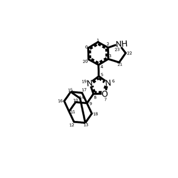 c1cc2c(c(-c3noc(C45CC6CC(CC(C6)C4)C5)n3)c1)CCN2